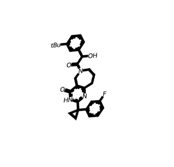 CC(C)(C)c1cccc(C(O)C(=O)N2CCCc3nc(C4(c5cccc(F)c5)CC4)[nH]c(=O)c3C2)c1